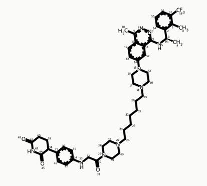 Cc1c([C@@H](C)Nc2nnc(C)c3ccc(N4CCN(CCCCCCCN5CCN(C(=O)CNc6ccc(C7CCC(=O)NC7=O)cc6)CC5)CC4)cc23)cccc1C(F)(F)F